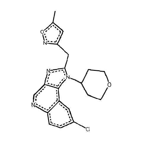 Cc1cc(Cc2nc3cnc4ccc(Cl)cc4c3n2C2CCOCC2)no1